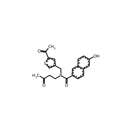 CC(=O)CCN(Cc1csc(C(C)=O)c1)C(=O)c1ccc2cc(O)ccc2c1